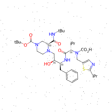 CC(C)c1ncc(CN(C(=O)O)[C@H](C(=O)N[C@@H](Cc2ccccc2)[C@@H](O)CN2CCN(C(=O)OC(C)(C)C)C[C@H]2C(=O)NC(C)(C)C)C(C)C)s1